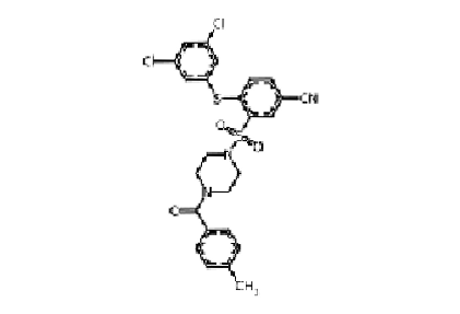 Cc1ccc(C(=O)N2CCN(S(=O)(=O)c3cc(C#N)ccc3Sc3cc(Cl)cc(Cl)c3)CC2)cc1